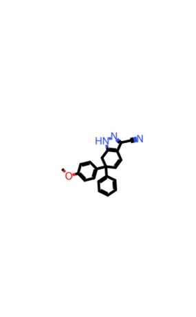 COc1ccc(C2(c3ccccc3)C=Cc3c(C#N)n[nH]c3C2)cc1